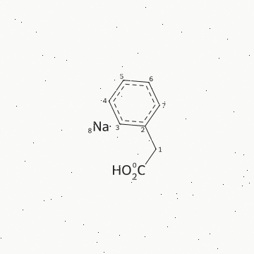 O=C(O)Cc1ccccc1.[Na]